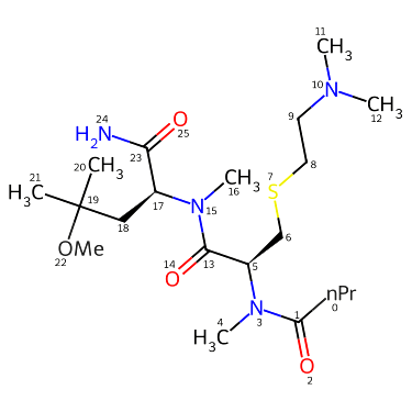 CCCC(=O)N(C)[C@H](CSCCN(C)C)C(=O)N(C)[C@@H](CC(C)(C)OC)C(N)=O